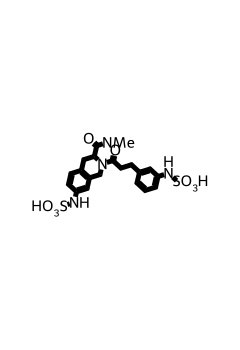 CNC(=O)C1Cc2ccc(NS(=O)(=O)O)cc2CN1C(=O)CCc1cccc(NS(=O)(=O)O)c1